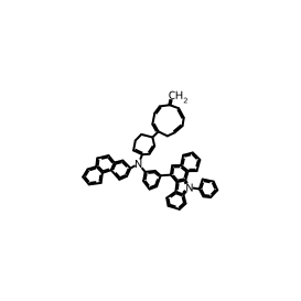 C=C1/C=C\C=C/C/C(C2C=CC(N(c3cccc(-c4cc5ccccc5c5c4c4ccccc4n5-c4ccccc4)c3)c3ccc4c(ccc5ccccc54)c3)=CCC2)=C\C=C/1